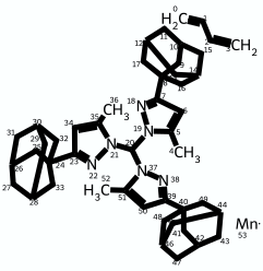 C=CC=C.Cc1cc(C23CC4CC(CC(C4)C2)C3)nn1C(n1nc(C23CC4CC(CC(C4)C2)C3)cc1C)n1nc(C23CC4CC(CC(C4)C2)C3)cc1C.[Mn]